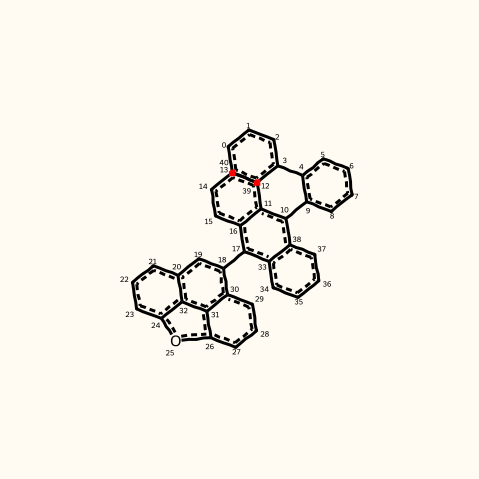 c1ccc(-c2ccccc2-c2c3ccccc3c(-c3cc4cccc5oc6cccc3c6c45)c3ccccc23)cc1